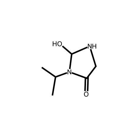 CC(C)N1C(=O)CNC1O